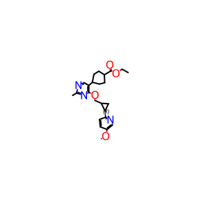 CCOC(=O)C1CCC(c2cnc(C)nc2OCC2C[C@H]2c2ccc(OC)cn2)CC1